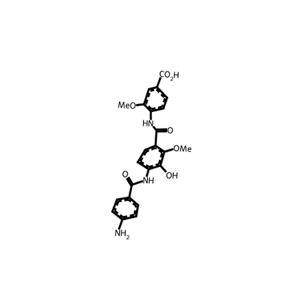 COc1cc(C(=O)O)ccc1NC(=O)c1ccc(NC(=O)c2ccc(N)cc2)c(O)c1OC